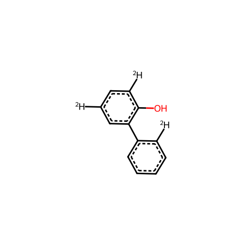 [2H]c1cc([2H])c(O)c(-c2ccccc2[2H])c1